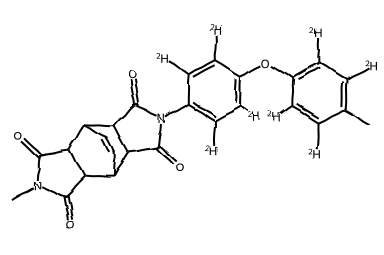 [2H]c1c([2H])c(Oc2c([2H])c([2H])c(N3C(=O)C4C5C=CC(C6C(=O)N(C)C(=O)C56)C4C3=O)c([2H])c2[2H])c([2H])c([2H])c1C